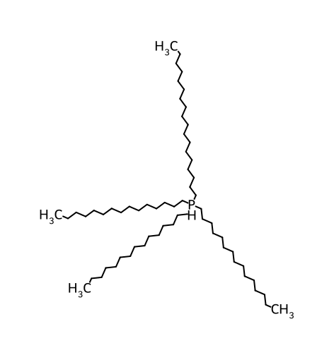 CCCCCCCCCCCCCCCCCC[PH](CCCCCCCCCCCCCCC)(CCCCCCCCCCCCCCC)CCCCCCCCCCCCCCC